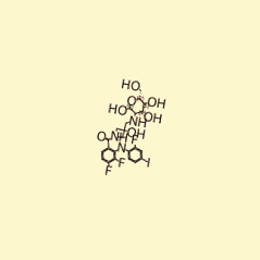 O=C(c1ccc(F)c(F)c1Nc1ccc(I)cc1F)N1CC(O)(CNC2[C@@H](O)[C@H](O)[C@@H](CO)O[C@@H]2O)C1